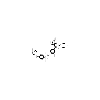 CC(C)n1ncc2c(-c3ccc(NC(=O)Nc4ccc(C(=O)N5CCN(C)CC5)cc4)cc3)nc(N3CCOCC3)nc21